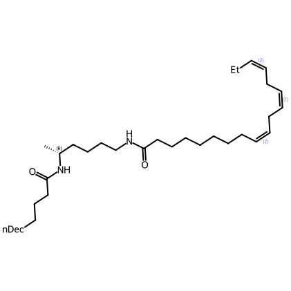 CC/C=C\C/C=C\C/C=C\CCCCCCCC(=O)NCCCC[C@@H](C)NC(=O)CCCCCCCCCCCCC